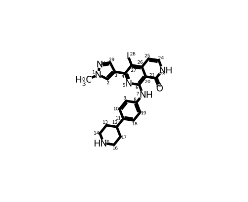 Cn1cc(-c2nc(Nc3ccc(C4CCNCC4)cc3)c3c(=O)[nH]ccc3c2I)cn1